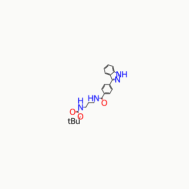 CC(C)(C)OC(=O)NCCCNC(=O)c1ccc(-c2n[nH]c3ccccc23)cc1